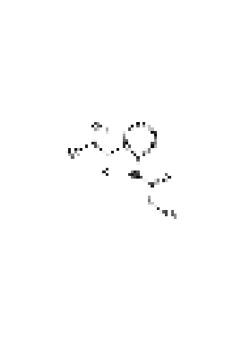 CN(C)C(=O)c1ccccc1NC(=O)CN